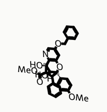 COC(=O)C1C(c2ccccc2)[C@]2(c3ccc(OC)cc3)Oc3cc(OCc4ccccc4)cnc3[C@@]1(O)[C@H]2O